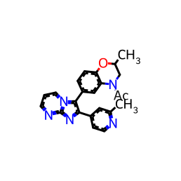 CC(=O)N1CC(C)Oc2ccc(-c3c(-c4ccnc(C)c4)nc4ncccn34)cc21